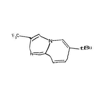 CC(C)(C)c1ccc2nc(C(F)(F)F)cn2c1